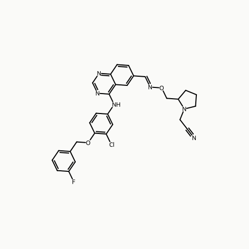 N#CCN1CCCC1CON=Cc1ccc2ncnc(Nc3ccc(OCc4cccc(F)c4)c(Cl)c3)c2c1